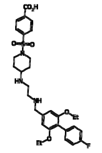 CCOc1cc(CNCCNC2CCN(S(=O)(=O)c3ccc(C(=O)O)cc3)CC2)cc(OCC)c1-c1ccc(F)cc1